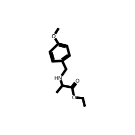 CCOC(=O)C(C)NCc1ccc(OC)cc1